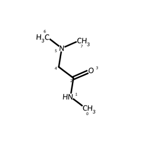 CNC(=O)CN(C)C